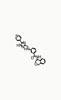 O=C(N[C@@H]1COCc2ccccc21)c1cccc(NCc2n[nH]c(-c3ccncc3)n2)c1